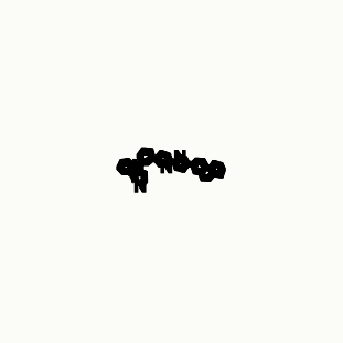 C1=C(c2cccc(-n3c4ccccc4c4cnccc43)c2)CCC(c2ccc(-c3ccc4c(ccc5ccccc54)c3)cn2)=N1